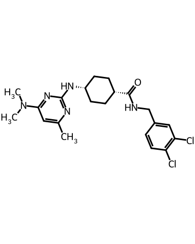 Cc1cc(N(C)C)nc(N[C@H]2CC[C@@H](C(=O)NCc3ccc(Cl)c(Cl)c3)CC2)n1